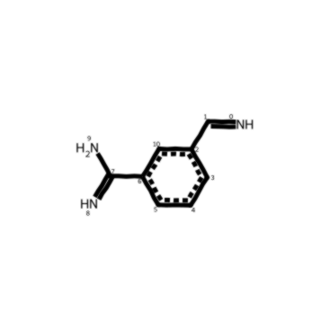 N=Cc1cccc(C(=N)N)c1